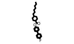 CCCCCCCC1CCC(C(=O)Oc2ccc(-c3ccc(F)cc3)cc2)CC1